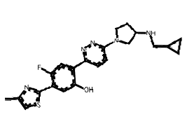 Cc1csc(-c2cc(O)c(-c3ccc(N4CCC(NCC5CC5)C4)nn3)cc2F)n1